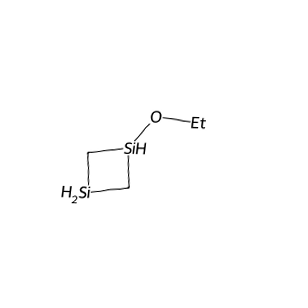 CCO[SiH]1C[SiH2]C1